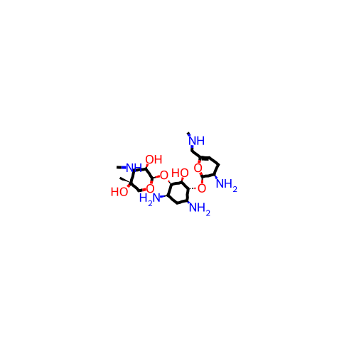 CNCC1=CC[C@@H](N)[C@@H](O[C@H]2[C@H](O)[C@@H](O[C@H]3OC[C@](C)(O)[C@H](NC)[C@H]3O)[C@H](N)C[C@@H]2N)O1